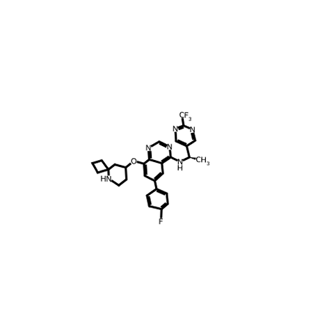 C[C@@H](Nc1ncnc2c(OC3CCNC4(CCC4)C3)cc(-c3ccc(F)cc3)cc12)c1cnc(C(F)(F)F)nc1